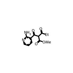 CCC(=O)C(C(=O)OC)C(=O)c1cccnc1N